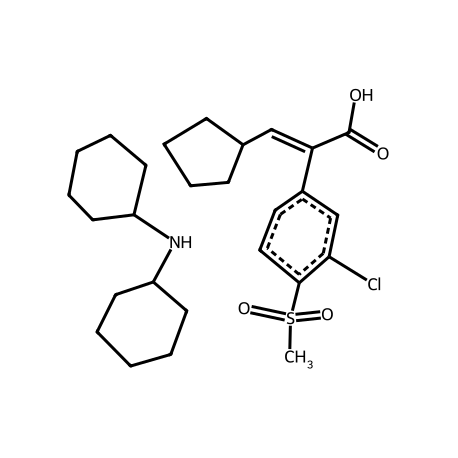 C1CCC(NC2CCCCC2)CC1.CS(=O)(=O)c1ccc(/C(=C\C2CCCC2)C(=O)O)cc1Cl